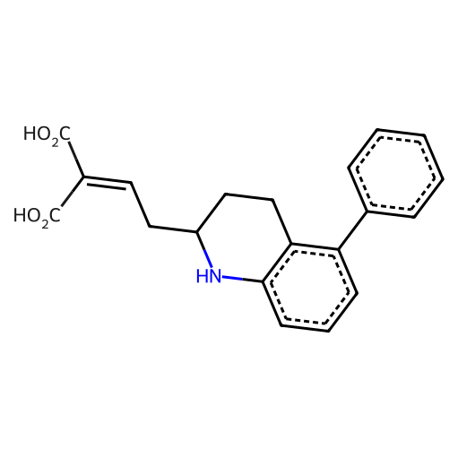 O=C(O)C(=CCC1CCc2c(cccc2-c2ccccc2)N1)C(=O)O